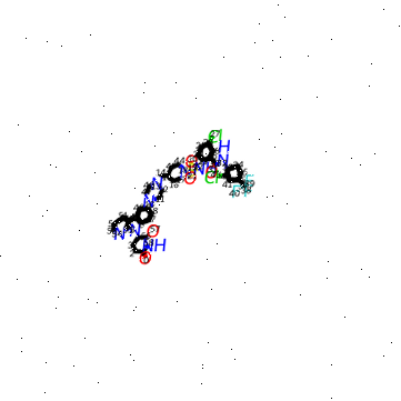 O=C1CCC(n2c3ccc(N4CCN(CC5CCN(S(=O)(=O)Nc6ccc(Cl)cc6C(=O)Nc6ccc(C(F)(F)F)cc6Cl)CC5)CC4)cc3c3cccnc32)C(=O)N1